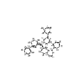 c1ccc(-c2cc3c4c5c6c(cccc6ccc5n(-c5cccc(-c6ccccc6)n5)c4c2)-c2ccccc2-3)cc1